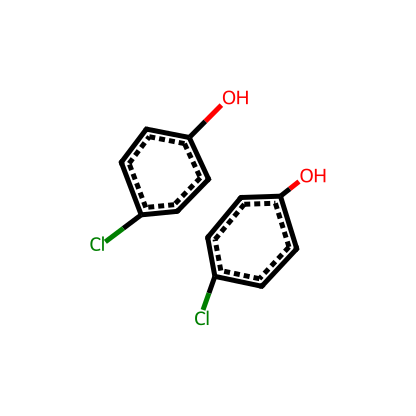 Oc1ccc(Cl)cc1.Oc1ccc(Cl)cc1